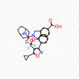 O=C(O)c1ccc2c(c1)CN(C(=O)N1C3CCC1CC(OCc1c(-c4ccccc4OC(F)(F)F)noc1C1CC1)C3)C2